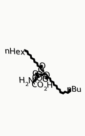 CCCC/C=C\C/C=C\CCCCCCCC(=O)O[C@H](COC(=O)CCCCCCC/C=C\CCCCCC)COP(=O)(O)OC[C@H](N)C(=O)O